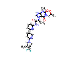 CCC(=O)Cn1c(=O)c2c(ncn2[C@@H](C)C(=O)Nc2cccc(-c3ccc(N4CC5C(F)(F)C5(C)C4)nc3)n2)n(C)c1=O